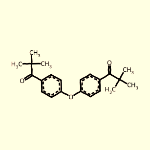 CC(C)(C)C(=O)c1ccc(Oc2ccc(C(=O)C(C)(C)C)cc2)cc1